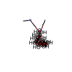 CCCCCCCC/C=C\CCCCCCCCCCCCCCCC(=O)N[C@@H](CO[C@@H]1OC(CO)[C@@H](O[C@@H]2OC(CO)[C@H](O[C@@H]3OC(CO)[C@H](O[C@@H]4OC(CO)[C@H](O)[C@H](O[C@@H]5OC(CO)[C@H](O)[C@H](O[C@H]6C(O)[C@H](O)C(C)O[C@H]6O)C5O)C4NC(C)=O)[C@H](O)C3O)[C@H](O)C2O)[C@H](O)C1O)[C@H](O)/C=C/CCCCCCCCCCCCC